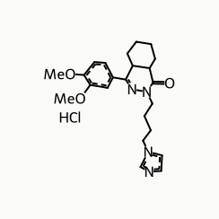 COc1ccc(C2=NN(CCCCn3ccnc3)C(=O)C3CCCCC23)cc1OC.Cl